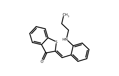 CCCNc1ccccc1C=C1Sc2ccccc2C1=O